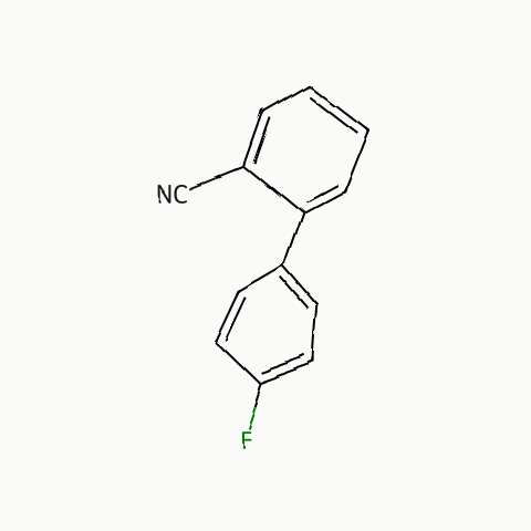 N#Cc1ccccc1-c1ccc(F)cc1